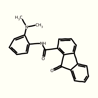 CN(C)c1ccccc1NC(=O)c1cccc2c1C(=O)c1ccccc1-2